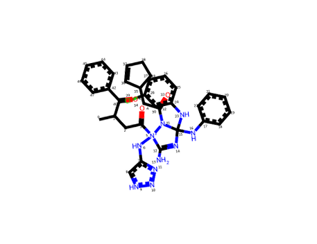 CC(CC(=O)[N+]1(Nc2c[nH]nn2)C(N)=NC(Nc2ccccc2)(Nc2cccc(Cl)c2)N1C(=O)CC1C=CCC1)C(=O)c1ccccc1